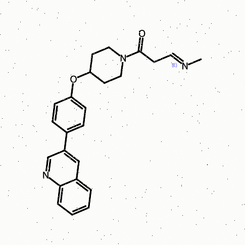 C/N=C/CC(=O)N1CCC(Oc2ccc(-c3cnc4ccccc4c3)cc2)CC1